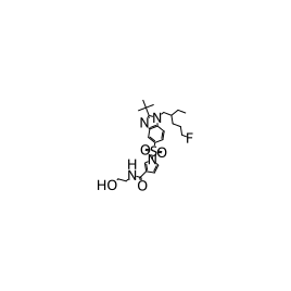 CCC(CCCF)Cn1c(C(C)(C)C)nc2cc(S(=O)(=O)n3ccc(C(=O)NCCO)c3)ccc21